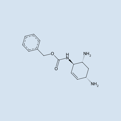 N[C@@H]1C=C[C@@H](NC(=O)OCc2ccccc2)[C@H](N)C1